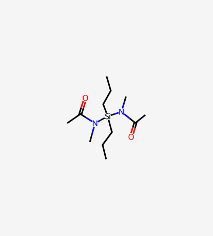 CCC[Si](CCC)(N(C)C(C)=O)N(C)C(C)=O